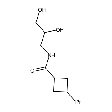 CC(C)C1CC(C(=O)NCC(O)CO)C1